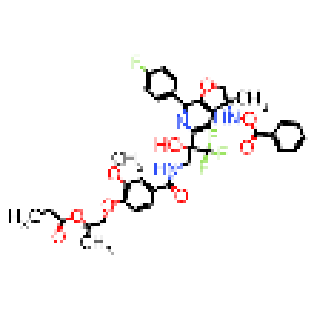 CCC(=O)O[C@H](C)COc1ccc(C(=O)NCC(O)(c2cc3c(c(-c4ccc(F)cc4)n2)OC[C@@]3(C)NOC(=O)c2ccccc2)C(F)(F)F)cc1OC